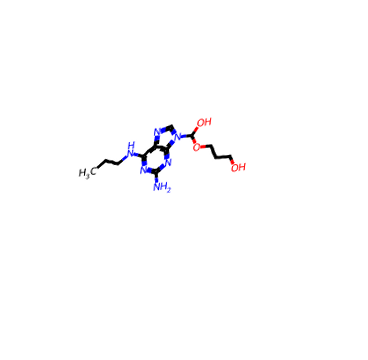 CCCNc1nc(N)nc2c1ncn2C(O)OCCCO